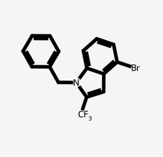 FC(F)(F)c1cc2c(Br)cccc2n1Cc1ccccc1